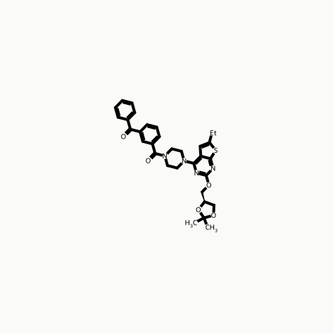 CCc1cc2c(N3CCN(C(=O)c4cccc(C(=O)c5ccccc5)c4)CC3)nc(OC[C@H]3COC(C)(C)O3)nc2s1